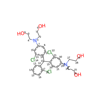 OCCN(CCO)c1ccc(C(c2ccccc2Cl)c2ccc(N(CCO)CCO)cc2Cl)c(Cl)c1